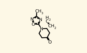 C=C.Cc1noc(N2CCC(=O)CC2)n1